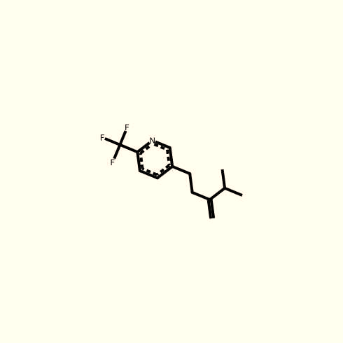 C=C(CCc1ccc(C(F)(F)F)nc1)C(C)C